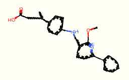 COc1nc(-c2ccccc2)ccc1CNc1ccc(C(C)CC(=O)O)cc1